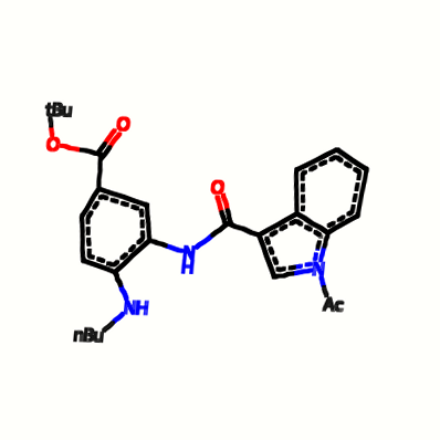 CCCCNc1ccc(C(=O)OC(C)(C)C)cc1NC(=O)c1cn(C(C)=O)c2ccccc12